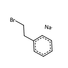 BrCCc1ccccc1.[Na]